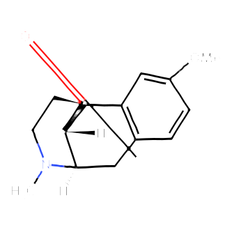 COc1ccc2c(c1)[C@]13CCN(C)[C@H](C2)[C@@H]1CCC(=O)C3